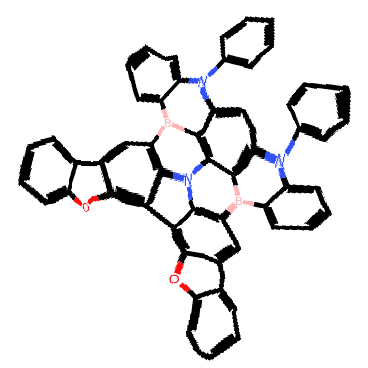 c1ccc(N2c3ccccc3B3c4c2cc2c5c4-n4c6c3cc3c7ccccc7oc3c6c3c6oc7ccccc7c6cc(c34)B5c3ccccc3N2c2ccccc2)cc1